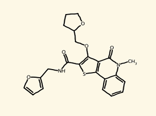 Cn1c(=O)c2c(OCC3CCCO3)c(C(=O)NCc3ccco3)sc2c2ccccc21